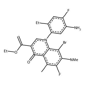 C=C(OCC)c1cn(-c2cc(N)c(F)cc2CC)c2c(Br)c(NC)c(F)c(C)c2c1=O